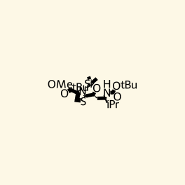 COC(=O)c1csc([C@@H](C[C@@H](NC(=O)OC(C)(C)C)C(C)C)O[Si](C)(C)C(C)(C)C)n1